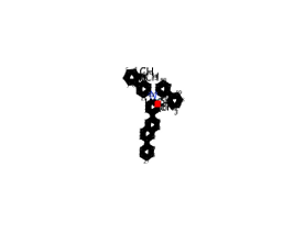 C[Si]1(C)c2ccccc2-c2ccc(N(c3ccc(-c4ccc5cc(-c6ccccc6)ccc5c4)cc3)c3cccc4c3[Si](C)(C)c3ccccc3-4)cc21